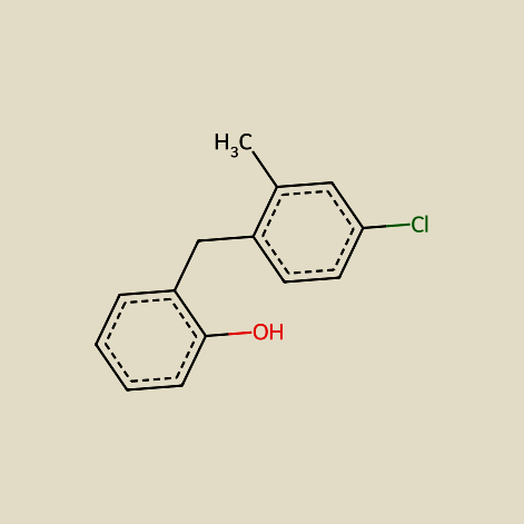 Cc1cc(Cl)ccc1Cc1ccccc1O